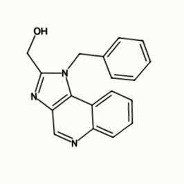 OCc1nc2cnc3ccccc3c2n1Cc1ccccc1